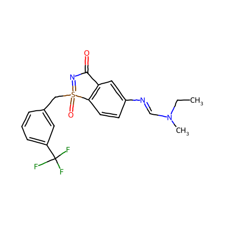 CCN(C)/C=N/c1ccc2c(c1)C(=O)N=S2(=O)Cc1cccc(C(F)(F)F)c1